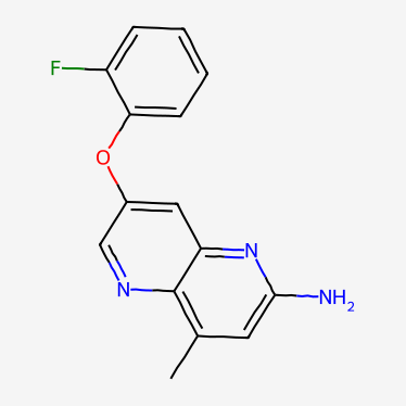 Cc1cc(N)nc2cc(Oc3ccccc3F)cnc12